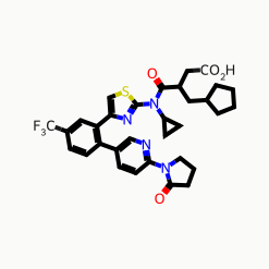 O=C(O)CC(CC1CCCC1)C(=O)N(c1nc(-c2cc(C(F)(F)F)ccc2-c2ccc(N3CCCC3=O)nc2)cs1)C1CC1